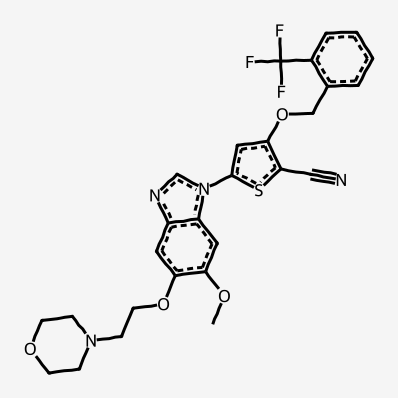 COc1cc2c(cc1OCCN1CCOCC1)ncn2-c1cc(OCc2ccccc2C(F)(F)F)c(C#N)s1